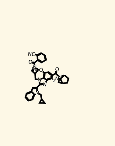 COc1cc(C(=O)N2CC3CCC2C3N)cc2nc(-c3cc4ccccc4n3CC3CC3)n(CC3CN(C(=O)c4ccccc4C#N)C3)c12